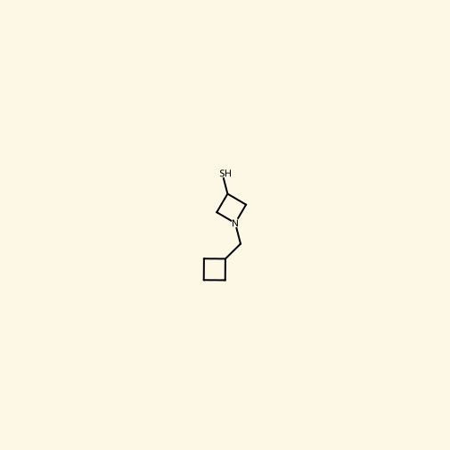 SC1CN(CC2CCC2)C1